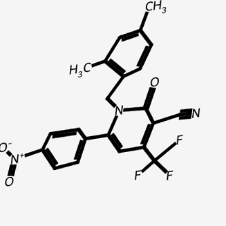 Cc1ccc(Cn2c(-c3ccc([N+](=O)[O-])cc3)cc(C(F)(F)F)c(C#N)c2=O)c(C)c1